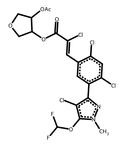 CC(=O)OC1COCC1OC(=O)C(Cl)=Cc1cc(-c2nn(C)c(OC(F)F)c2Cl)c(Cl)cc1Cl